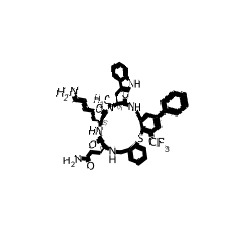 CN1C(=O)[C@H](CCCCCN)NC(=O)[C@H](CCC(N)=O)NCc2ccccc2Sc2c(cc(-c3ccccc3)cc2C(F)(F)F)CNC(=O)[C@@H]1Cc1c[nH]c2ccccc12